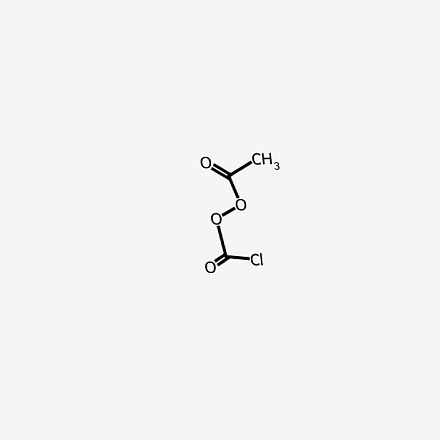 CC(=O)OOC(=O)Cl